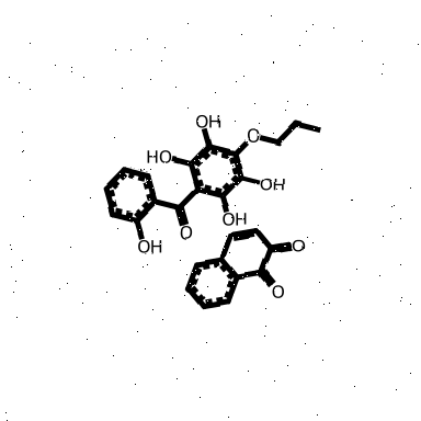 CCCOc1c(O)c(O)c(C(=O)c2ccccc2O)c(O)c1O.O=C1C=Cc2ccccc2C1=O